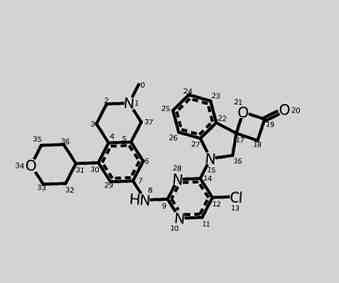 CN1CCc2c(cc(Nc3ncc(Cl)c(N4CC5(CC(=O)O5)c5ccccc54)n3)cc2C2CCOCC2)C1